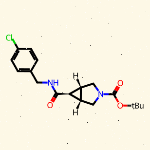 CC(C)(C)OC(=O)N1C[C@@H]2[C@H](C1)[C@H]2C(=O)NCc1ccc(Cl)cc1